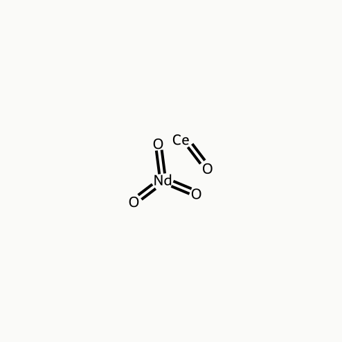 [O]=[Ce].[O]=[Nd](=[O])=[O]